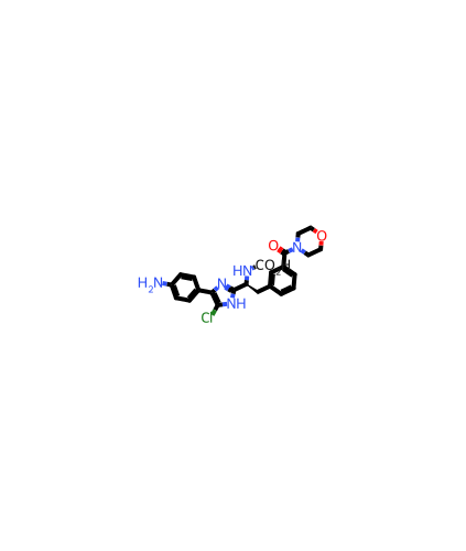 Nc1ccc(-c2nc([C@H](Cc3cccc(C(=O)N4CCOCC4)c3)NC(=O)O)[nH]c2Cl)cc1